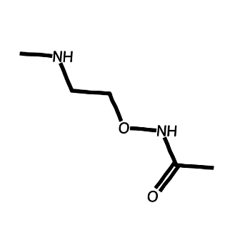 CNCCONC(C)=O